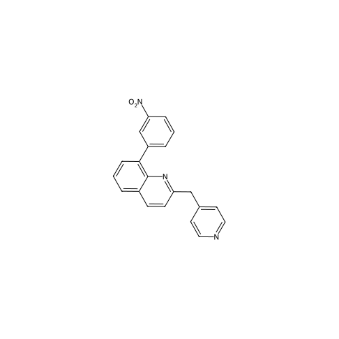 O=[N+]([O-])c1cccc(-c2cccc3ccc(Cc4ccncc4)nc23)c1